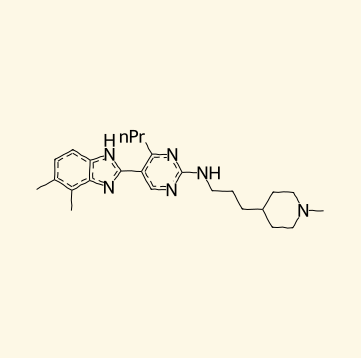 CCCc1nc(NCCCC2CCN(C)CC2)ncc1-c1nc2c(C)c(C)ccc2[nH]1